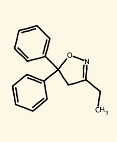 CCC1=NOC(c2ccccc2)(c2ccccc2)C1